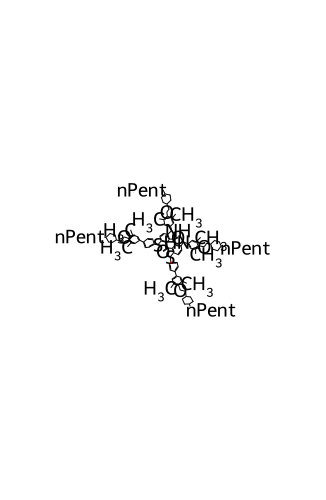 CCCCCC1CCC(COc2c(C)cc(Nc3ccc(Sc4ccc(-c5cc(C)c(OCC6CCC(CCCCC)CC6)c(C)c5)cc4)c4c3C(=O)c3c(Nc5cc(C)c(OCC6CCC(CCCCC)CC6)c(C)c5)ccc(Sc5ccc(-c6cc(C)c(OCC7CCC(CCCCC)CC7)c(C)c6)cc5)c3C4=O)cc2C)CC1